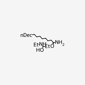 CCCCCCCCCCCCCCCCCC(N)=O.CCNC(O)CC